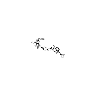 CCCCOc1nc(N)c2[nH]c(=O)n(CCN3CCN(OCC(C)(C)C4=CC(=O)c5c(OCCNO)cccc5C4=O)CC3)c2n1